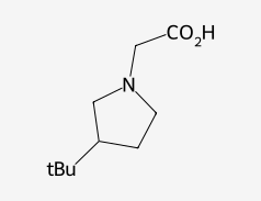 CC(C)(C)C1CCN(CC(=O)O)C1